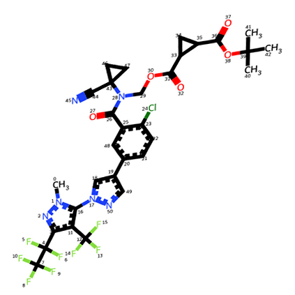 Cn1nc(C(F)(F)C(F)(F)F)c(C(F)(F)F)c1-n1cc(-c2ccc(Cl)c(C(=O)N(COC(=O)C3CC3C(=O)OC(C)(C)C)C3(C#N)CC3)c2)cn1